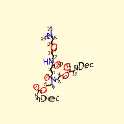 CCCCCCCCCCCC(=O)OCCN(CCOC(=O)CCCCCCCCCCC)C(=O)C=CC(=O)NCCOCCN(C)C